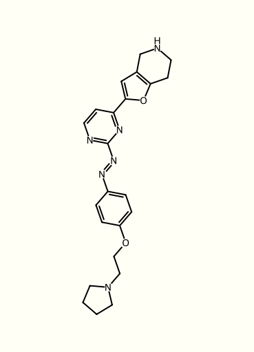 c1cc(-c2cc3c(o2)CCNC3)nc(N=Nc2ccc(OCCN3CCCC3)cc2)n1